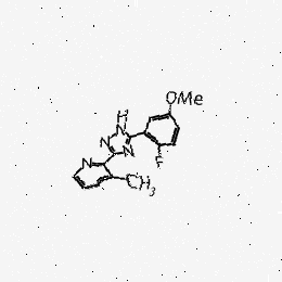 COc1ccc(F)c(-c2nc(-c3ncccc3C)n[nH]2)c1